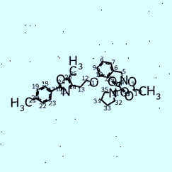 CC(=O)ON(Cc1cccc(OCCc2nc(-c3ccc(C)cc3)oc2C)c1)S(=O)(=O)N1CCCC1